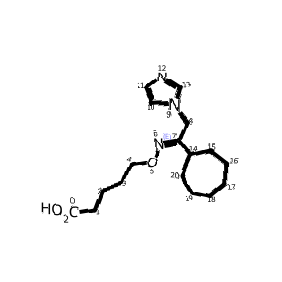 O=C(O)CCCCO/N=C(/Cn1ccnc1)C1CCCCCC1